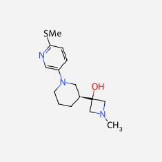 CSc1ccc(N2CCC[C@H](C3(O)CN(C)C3)C2)cn1